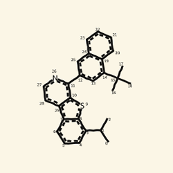 CC(C)c1cccc2c1sc1c(-c3cc(C(C)(C)C)c4ccccc4c3)nccc12